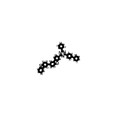 c1ccc(-c2ccc(-c3nc(-c4ccccc4)nc(-c4ccc5c(c4)oc4ccc(-c6ccc7sc8ccccc8c7c6)cc45)n3)cc2)cc1